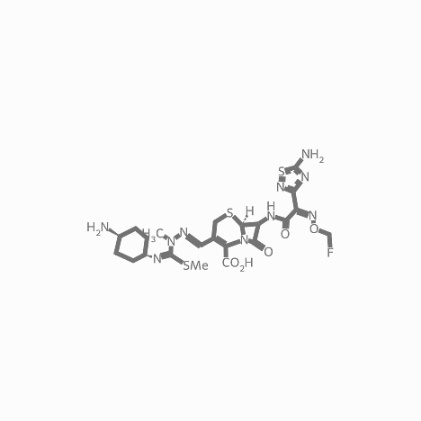 CS/C(=N/[C@H]1CC[C@H](N)CC1)N(C)N=CC1=C(C(=O)O)N2C(=O)C(NC(=O)/C(=N\OCF)c3nsc(N)n3)[C@@H]2SC1